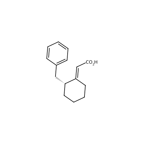 O=C(O)C=C1CCCC[C@@H]1Cc1ccccc1